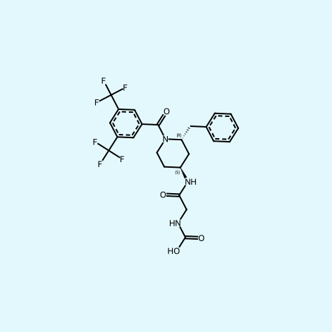 O=C(O)NCC(=O)N[C@H]1CCN(C(=O)c2cc(C(F)(F)F)cc(C(F)(F)F)c2)[C@H](Cc2ccccc2)C1